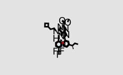 CC[C@@H](C)c1ccnc(-c2nc3nc(C(=O)OC)nc(NCCC4CCC4)c3n2Cc2ccc(C(F)(F)F)cc2)c1